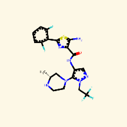 C[C@@H]1CN(c2c(NC(=O)c3nc(-c4c(F)cccc4F)sc3N)cnn2CC(F)(F)F)CCN1